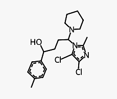 Cc1ccc(C(O)CCC(N2CCCCC2)n2c(C)nc(Cl)c2Cl)cc1